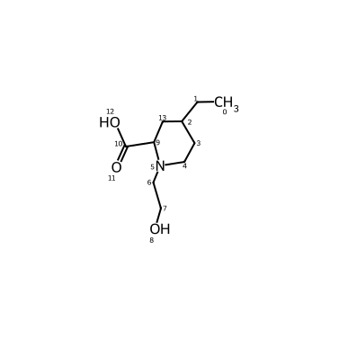 CCC1CCN(CCO)C(C(=O)O)C1